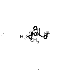 Cc1cc(C)cc(C(=O)N2CC[C@H](NCCCc3cccc(C(F)(F)F)c3)C[C@H]2Cc2ccccc2)c1